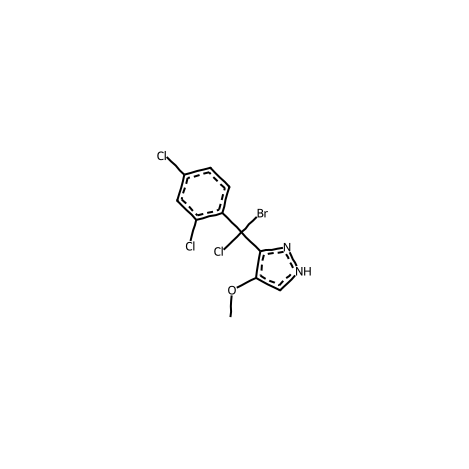 COc1c[nH]nc1C(Cl)(Br)c1ccc(Cl)cc1Cl